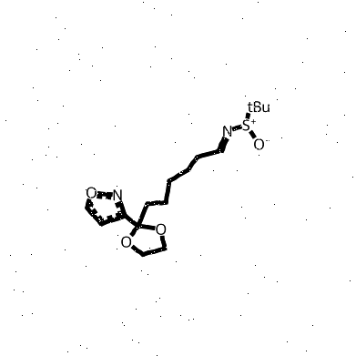 CC(C)(C)[S+]([O-])/N=C/CCCCCC1(c2ccon2)OCCO1